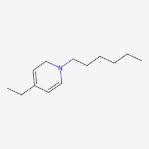 CCCCCCN1C=CC(CC)=CC1